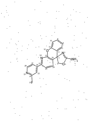 NC1=NC2(CO1)c1ccccc1Oc1nc(-c3ccnc(F)c3)ccc12